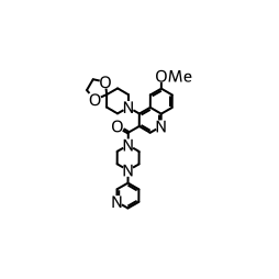 COc1ccc2ncc(C(=O)N3CCN(c4cccnc4)CC3)c(N3CCC4(CC3)OCCO4)c2c1